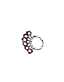 c1ccc([As]2CCCCCCCCCCC[As](c3ccccc3)[As](c3ccccc3)[As](c3ccccc3)[As](c3ccccc3)[As]2c2ccccc2)cc1